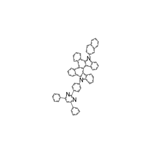 c1ccc(-c2cc(-c3ccccc3)nc(-c3ccc(-n4c5ccccc5c5c6c(c7ccccc7c54)c4ccccc4c4c6c5ccccc5n4-c4ccc5ccccc5c4)cc3)n2)cc1